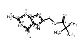 CC(C)(C)C(=O)OCc1nc2nc(N)[nH]c(=O)c2[nH]1